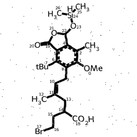 COc1c(C)c2c(c(C(C)(C)C)c1CC=C(C)CC(CCBr)C(=O)O)C(=O)OC2O[SiH](C)C